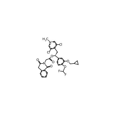 C[n+]1cc(Cl)c(C[C@H](OC(=O)CN2C(=O)Cc3ccccc3C2=O)c2ccc(OC(F)F)c(OCC3CC3)c2)c(Cl)c1